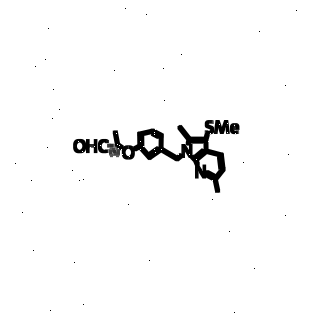 CSc1c(C)n(Cc2cccc(O[C@@H](C)C=O)c2)c2nc(C)ccc12